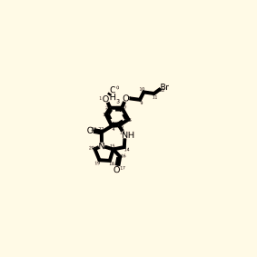 COc1cc2c(cc1OCCCBr)NCC1(C=O)CCCN1C2=O